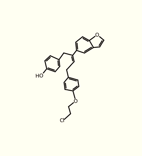 Oc1ccc(CC(=CCc2ccc(OCCCl)cc2)c2ccc3occc3c2)cc1